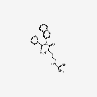 N=C(N)NCCC[C@H](N)C(=O)N(C(=O)c1ccccc1)c1ccc2ccccc2c1